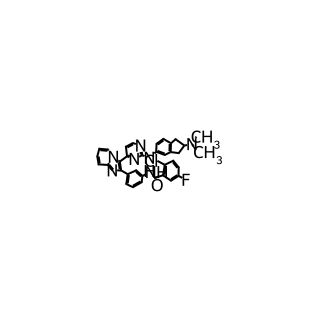 CN(C)C1Cc2ccc(Nc3nccc(-c4c(-c5cccc(NC(=O)c6cc(F)ccc6Cl)c5)nc5ccccn45)n3)cc2C1